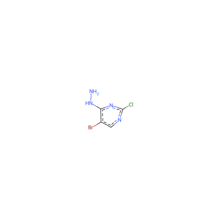 NNc1nc(Cl)ncc1Br